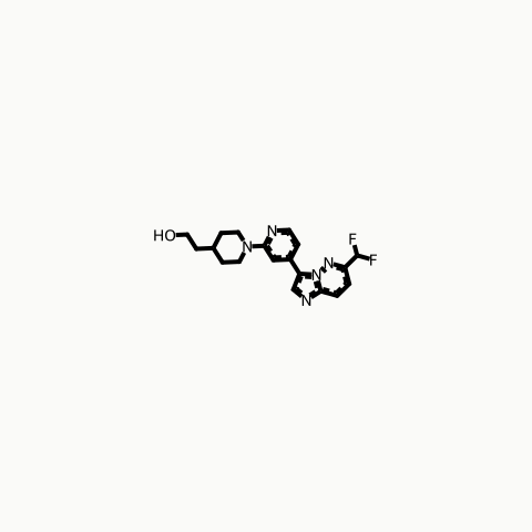 OCCC1CCN(c2cc(-c3cnc4ccc(C(F)F)nn34)ccn2)CC1